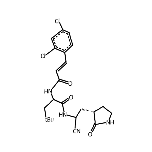 CC(C)(C)CC(NC(=O)/C=C/c1ccc(Cl)cc1Cl)C(=O)NC(C#N)C[C@@H]1CCNC1=O